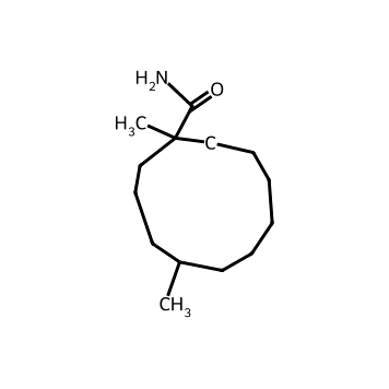 CC1CCCCCCC(C)(C(N)=O)CCC1